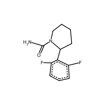 NC(=O)N1CCCCC1c1c(F)cccc1F